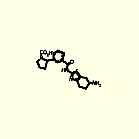 NC1CCc2nc(NC(=O)c3cccc(C4CCCN4C(=O)O)c3)sc2C1